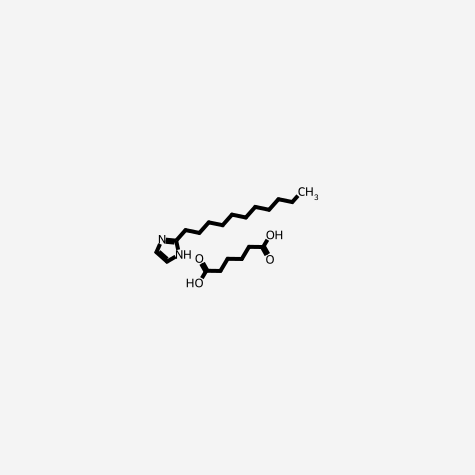 CCCCCCCCCCCc1ncc[nH]1.O=C(O)CCCCC(=O)O